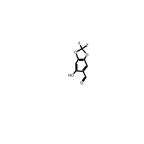 O=Cc1cc2c(cc1O)OC(F)(F)O2